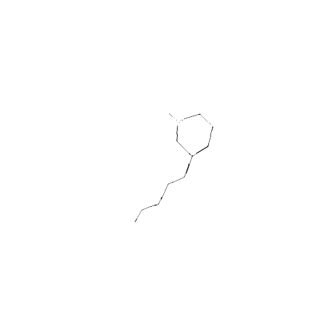 O=C(O)N1CCCC(CCCCO)C1